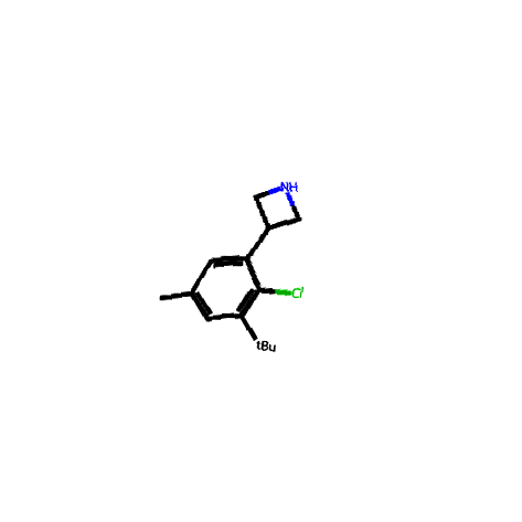 Cc1cc(C2CNC2)c(Cl)c(C(C)(C)C)c1